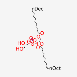 CCCCCCCC/C=C\CCCCCCCC(=O)O[C@H](COC(=O)CCCCCCCCCCCCCCCCCCC)COP(=O)(O)OC[C@@H](O)CO